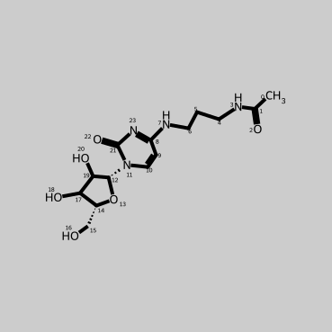 CC(=O)NCCCNc1ccn([C@@H]2O[C@H](CO)C(O)C2O)c(=O)n1